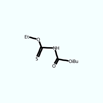 CCOC(=S)NC(=O)OCC(C)C